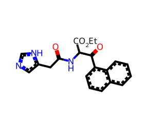 CCOC(=O)C(NC(=O)Cc1cnc[nH]1)C(=O)c1cccc2ccccc12